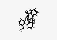 O=Cc1ccccc1-c1cccc2nc(-c3ccccc3[N+](=O)[O-])[nH]c12